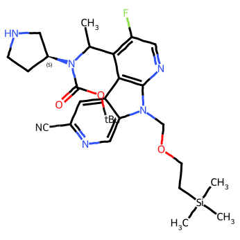 CC(c1c(F)cnc2c1c1cc(C#N)ncc1n2COCC[Si](C)(C)C)N(C(=O)OC(C)(C)C)[C@H]1CCNC1